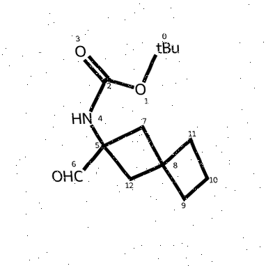 CC(C)(C)OC(=O)NC1(C=O)CC2(CCC2)C1